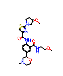 COCCNC(=O)c1cc(C2CN(C)CCO2)ccc1NC(=O)c1csc(N2CC[C@H](OC)C2)n1